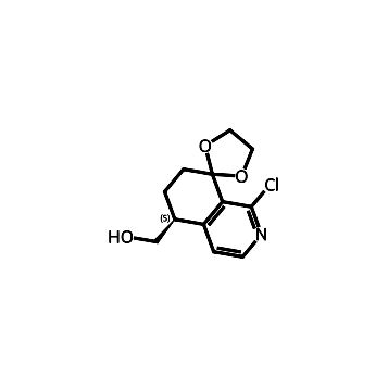 OC[C@H]1CCC2(OCCO2)c2c1ccnc2Cl